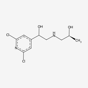 C[C@H](O)CNCC(O)c1cc(Cl)nc(Cl)c1